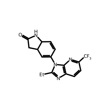 CCc1nc2ccc(C(F)(F)F)nc2n1C1=CC2CC(=O)NC2C=C1